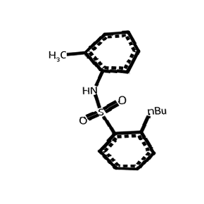 CCCCc1ccccc1S(=O)(=O)Nc1ccccc1C